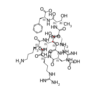 CC(C)C[C@H](NC(=O)[C@H](CCCCN)NC(=O)[C@H](CCCNC(=N)N)NC(=O)[C@H](CCC(=O)O)NC(=O)[C@@H](N)CC(=O)O)C(=O)N[C@@H](CCCNC(=N)N)C(=O)N[C@H](C(=O)N[C@@H](Cc1ccccc1)C(=O)O)[C@@H](C)O